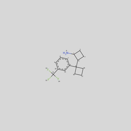 NC1CCC1C1(c2cccc(C(F)(F)F)c2)CCC1